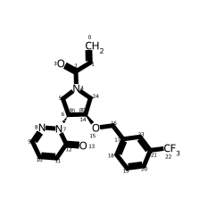 C=CC(=O)N1C[C@@H](n2ncccc2=O)[C@H](OCc2cccc(C(F)(F)F)c2)C1